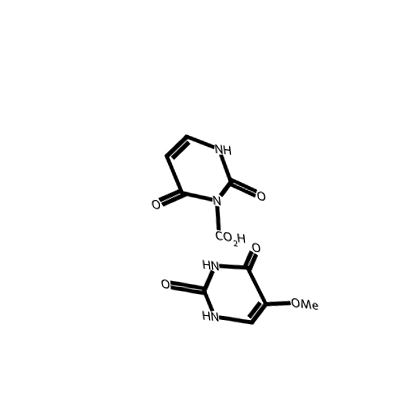 COc1c[nH]c(=O)[nH]c1=O.O=C(O)n1c(=O)cc[nH]c1=O